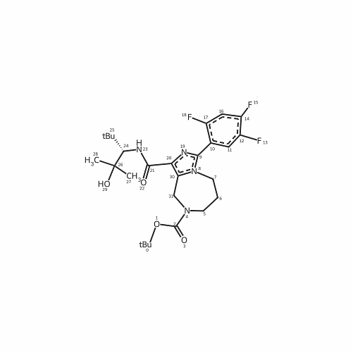 CC(C)(C)OC(=O)N1CCCn2c(-c3cc(F)c(F)cc3F)nc(C(=O)N[C@@H](C(C)(C)C)C(C)(C)O)c2C1